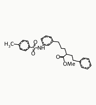 COC(=O)C(CCCc1cccc(NS(=O)(=O)c2ccc(C)cc2)c1)CCc1ccccc1